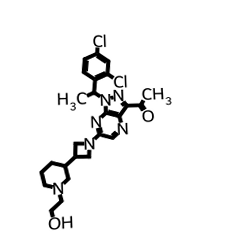 CC(=O)c1nn(C(C)c2ccc(Cl)cc2Cl)c2nc(N3CC(C4CCCN(CCO)C4)C3)cnc12